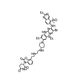 CCOc1cc(N2CCC(NCCNCCc3cccc4c3oc(=O)n4C3CCC(=O)NC3=O)CC2)c(CC)cc1Nc1ncc(Br)c(Nc2ccc3nc(CC)ncc3c2P(C)(C)=O)n1